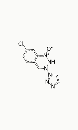 [O-][N+]1=c2cc(Cl)ccc2=CN(n2ccnn2)N1